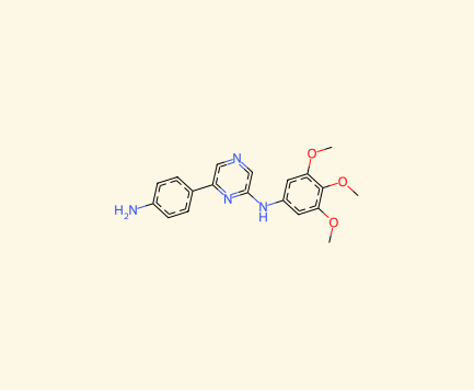 COc1cc(Nc2cncc(-c3ccc(N)cc3)n2)cc(OC)c1OC